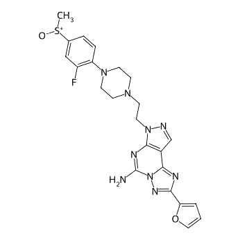 C[S+]([O-])c1ccc(N2CCN(CCn3ncc4c3nc(N)n3nc(-c5ccco5)nc43)CC2)c(F)c1